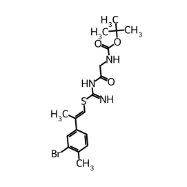 C/C(=C\SC(=N)NC(=O)CNC(=O)OC(C)(C)C)c1ccc(C)c(Br)c1